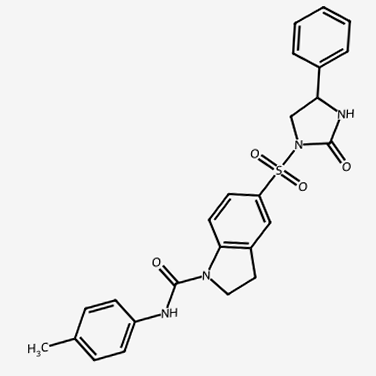 Cc1ccc(NC(=O)N2CCc3cc(S(=O)(=O)N4CC(c5ccccc5)NC4=O)ccc32)cc1